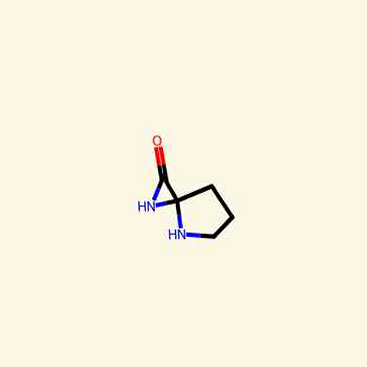 O=C1NC12CCCN2